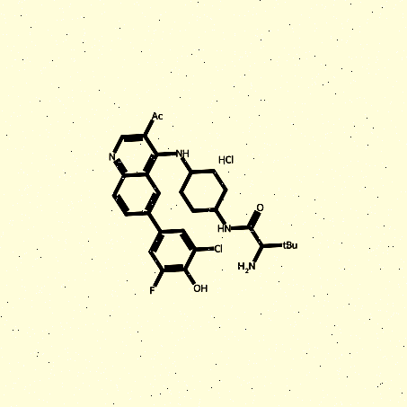 CC(=O)c1cnc2ccc(-c3cc(F)c(O)c(Cl)c3)cc2c1NC1CCC(NC(=O)C(N)C(C)(C)C)CC1.Cl